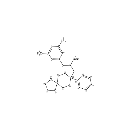 CC(=O)OC(Cc1cc(C(F)(F)F)cc(C(F)(F)F)c1)CC1(c2ccccc2)CCC2(CC1)OCCO2